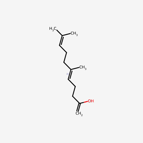 C=C(O)CC/C=C(\C)CCC=C(C)C